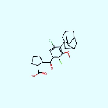 COc1c(F)c(C(=O)C2CCCC2C(=O)O)cc(Cl)c1C12CC3CC(CC(C3)C1)C2